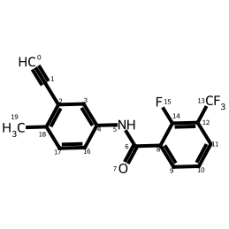 C#Cc1cc(NC(=O)c2cccc(C(F)(F)F)c2F)ccc1C